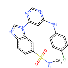 CNS(=O)(=O)c1ccc2ncn(-c3cc(Nc4ccc(Cl)cc4)ncn3)c2c1